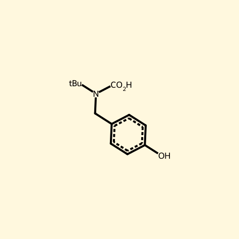 CC(C)(C)N(Cc1ccc(O)cc1)C(=O)O